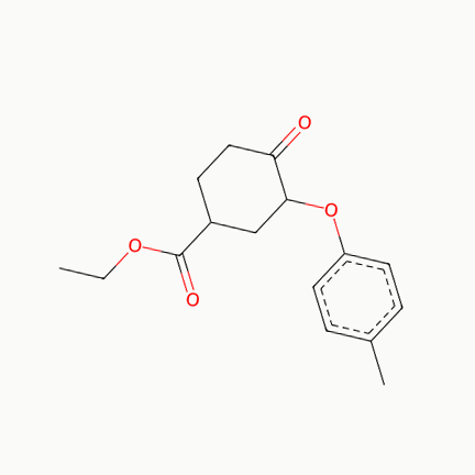 CCOC(=O)C1CCC(=O)C(Oc2ccc(C)cc2)C1